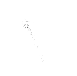 CCCCCCCCC=CCCCCCCCCNCC(=O)Nc1c(C)cccc1C